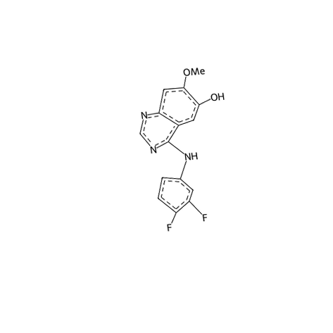 COc1cc2ncnc(Nc3ccc(F)c(F)c3)c2cc1O